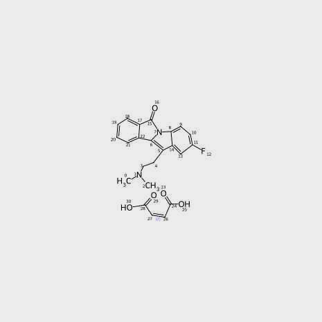 CN(C)CCc1c2n(c3ccc(F)cc13)C(=O)c1ccccc1-2.O=C(O)/C=C\C(=O)O